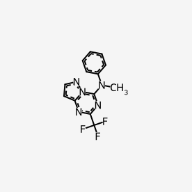 CN(c1ccccc1)c1nc(C(F)(F)F)nc2ccnn12